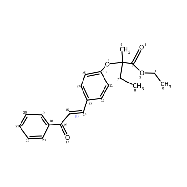 CCOC(=O)C(C)(CC)Oc1ccc(/C=C/C(=O)c2ccccc2)cc1